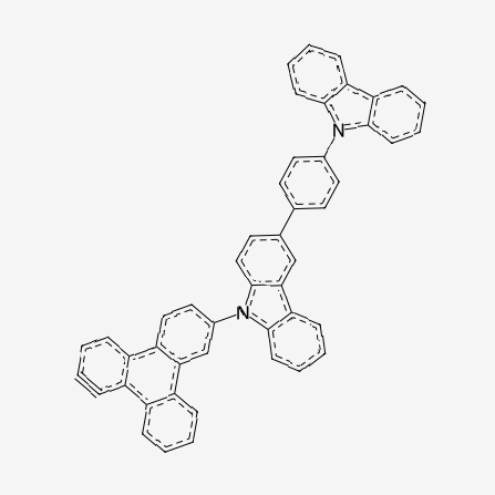 c1ccc2c(c#1)c1ccccc1c1cc(-n3c4ccccc4c4cc(-c5ccc(-n6c7ccccc7c7ccccc76)cc5)ccc43)ccc21